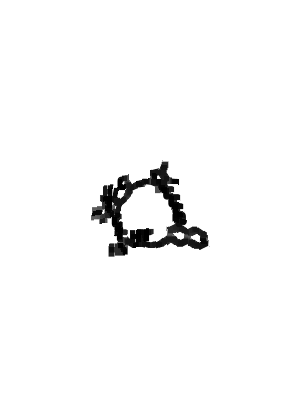 CN/C1=C\C(=N)CSC[C@@H](N)C(=C(/C)NC)/C=C(Cl)/C=C\c2cc(C)c(C)n2CCCOc2cc(cc3ccccc23)CC1